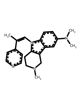 C/C(=C/n1c2c(c3cc(N(C)C)ccc31)CN(C)CC2)c1ccncc1